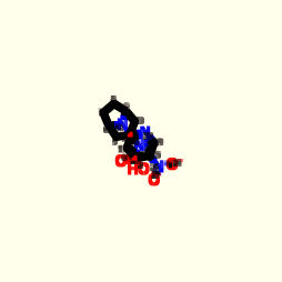 O=C(O)NC1CC2CCC(C1)N2c1ccc([N+](=O)[O-])cn1